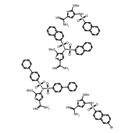 CSc1sc(C(=N)N)cc1N(S(=O)(=O)c1ccc(-c2ccccc2)cc1)S(=O)(=O)c1ccc(-c2ccccc2)cc1.CSc1sc(C(=N)N)cc1N(S(=O)(=O)c1ccc2ccccc2c1)S(=O)(=O)c1ccc2ccccc2c1.CSc1sc(C(=N)N)cc1NS(=O)(=O)c1ccc2cc(Br)ccc2c1.CSc1sc(C(=N)N)cc1NS(=O)(=O)c1ccc2ccccc2c1